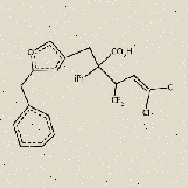 CC(C)C(Cc1coc(Cc2ccccc2)c1)(C(=O)O)C(C=C(Cl)Cl)C(F)(F)F